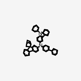 c1ccc(-c2ccc(N(c3ccc4c(c3)C3(CC5CCC3C5)c3ccccc3-4)c3ccc4c(c3)c3ccccc3n4-c3ccccc3)cc2)cc1